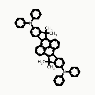 CC1(C)c2cc(N(c3ccccc3)c3ccccc3)ccc2-c2c1c1cccc3c4c(c5cccc2c5c31)C(C)(C)c1cc(N(c2ccccc2)c2ccccc2)ccc1-4